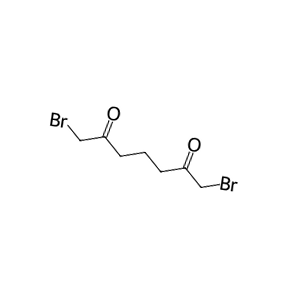 O=C(CBr)CCCC(=O)CBr